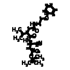 CC(C)C(CC(=O)NCCOc1ccccc1)C(=O)NC(C#N)CC(=O)OC(C)(C)C